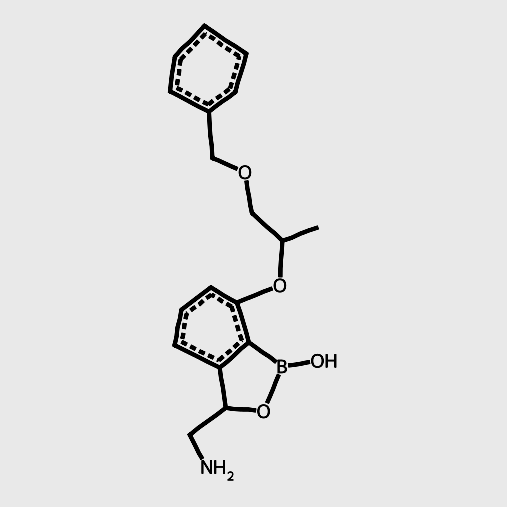 CC(COCc1ccccc1)Oc1cccc2c1B(O)OC2CN